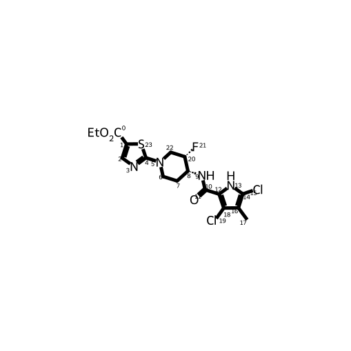 CCOC(=O)c1cnc(N2CC[C@@H](NC(=O)c3[nH]c(Cl)c(C)c3Cl)[C@@H](F)C2)s1